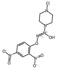 O=[N+]([O-])c1ccc(O/N=[N+](\O)N2CCN(Cl)CC2)c([N+](=O)[O-])c1